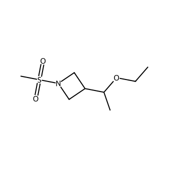 CCOC(C)C1CN(S(C)(=O)=O)C1